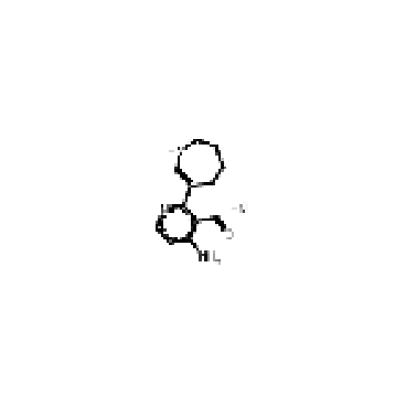 Cl.Nc1ccnc(C2=CNCCCC2)c1C=O